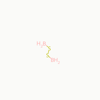 BSSB